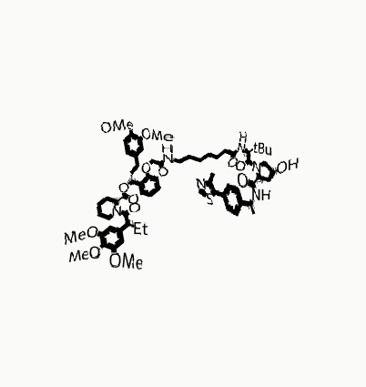 CC[C@H](C(=O)N1CCCC[C@H]1C(=O)O[C@H](CCc1ccc(OC)c(OC)c1)c1ccccc1OCC(=O)NCCCCCCC(=O)N[C@H](C(=O)N1C[C@H](O)C[C@H]1C(=O)N[C@@H](C)c1ccc(-c2scnc2C)cc1)C(C)(C)C)c1cc(OC)c(OC)c(OC)c1